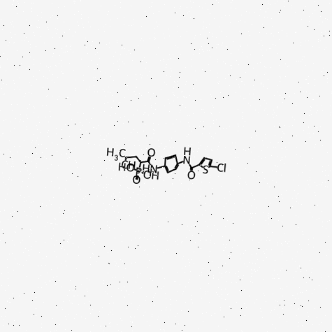 CC(C)CC(C(=O)Nc1ccc(NC(=O)c2ccc(Cl)s2)cc1)P(=O)(O)O